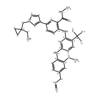 CNC(=O)c1nc(-c2cnn(CC3(CO)CC3)c2)ccc1Nc1nc(Nc2ccc(CP=O)cc2OC)ncc1C(F)(F)F